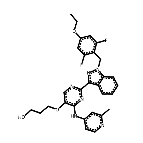 CCOc1cc(F)c(Cn2nc(-c3ncc(OCCCO)c(Nc4ccnc(C)c4)n3)c3ccccc32)c(F)c1